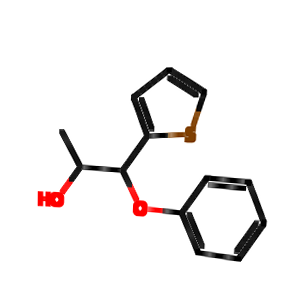 CC(O)C(Oc1ccccc1)c1cccs1